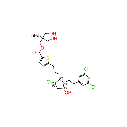 CCCCC(CO)(CO)COC(=O)c1ccc(CCC[C@@H]2[C@@H](CCc3cc(Cl)cc(Cl)c3)[C@H](O)C[C@H]2Cl)s1